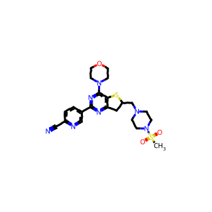 CS(=O)(=O)N1CCN(CC2Cc3nc(-c4ccc(C#N)nc4)nc(N4CCOCC4)c3S2)CC1